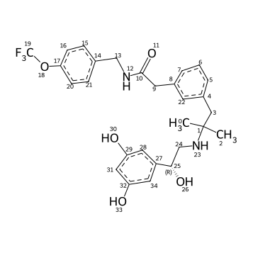 CC(C)(Cc1cccc(CC(=O)NCc2ccc(OC(F)(F)F)cc2)c1)NC[C@H](O)c1cc(O)cc(O)c1